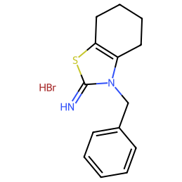 Br.N=c1sc2c(n1Cc1ccccc1)CCCC2